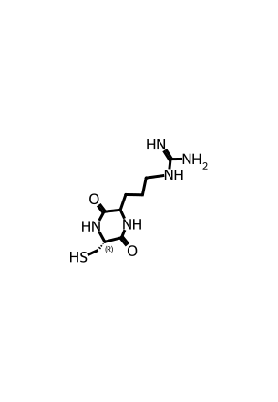 N=C(N)NCCCC1NC(=O)[C@H](CS)NC1=O